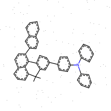 CC1(C)c2cc(-c3ccc(N(c4ccccc4)c4ccccc4)cc3)ccc2-c2c(-c3ccc4ccccc4c3)ccc3cccc1c23